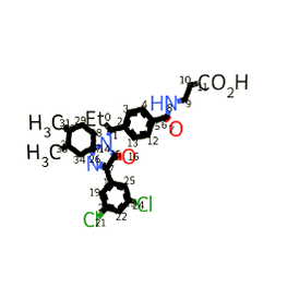 CCC(c1ccc(C(=O)NCCC(=O)O)cc1)N1C(=O)C(c2cc(Cl)cc(Cl)c2)=NC12CCC(C)C(C)C2